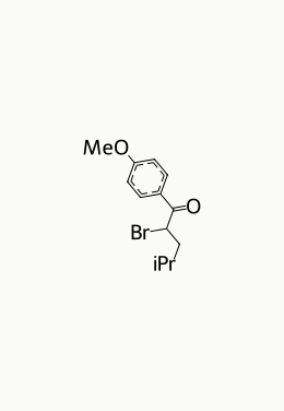 COc1ccc(C(=O)C(Br)CC(C)C)cc1